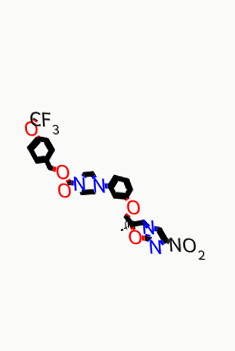 C[C@]1(COc2cccc(N3CCN(C(=O)OCc4ccc(OC(F)(F)F)cc4)CC3)c2)Cn2cc([N+](=O)[O-])nc2O1